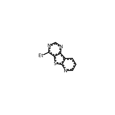 CCc1ncnc2c1sc1ncccc12